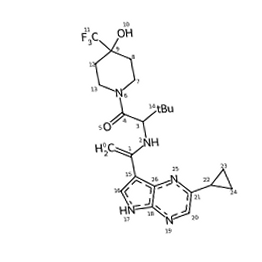 C=C(NC(C(=O)N1CCC(O)(C(F)(F)F)CC1)C(C)(C)C)c1c[nH]c2ncc(C3CC3)nc12